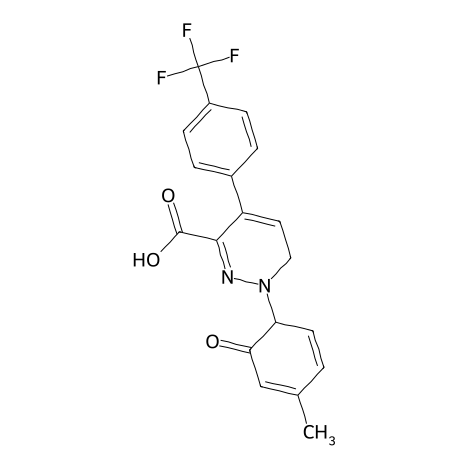 CC1=CC(=O)C(N2CC=C(c3ccc(C(F)(F)F)cc3)C(C(=O)O)=N2)C=C1